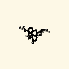 CCNC1Cc2ccc(OC)c3c2[C@@]2(C)[C@@H](O3)C(=O)CC[C@@]12O